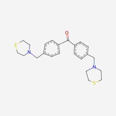 O=C(c1ccc(CN2CCSCC2)cc1)c1ccc(CN2CCSCC2)cc1